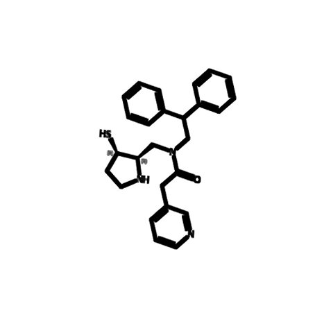 O=C(Cc1cccnc1)N(CC(c1ccccc1)c1ccccc1)C[C@H]1NCC[C@H]1S